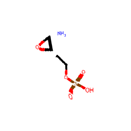 C1CO1.CCOS(=O)(=O)O.N